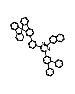 C1=CC2=C(CC1)C1(c3ccccc32)c2ccccc2-c2ccc(-c3cccc(-c4cc(-c5ccc(-c6ccccc6)c(-c6ccccc6)c5)nc(-c5ccc6ccccc6c5)n4)c3)cc21